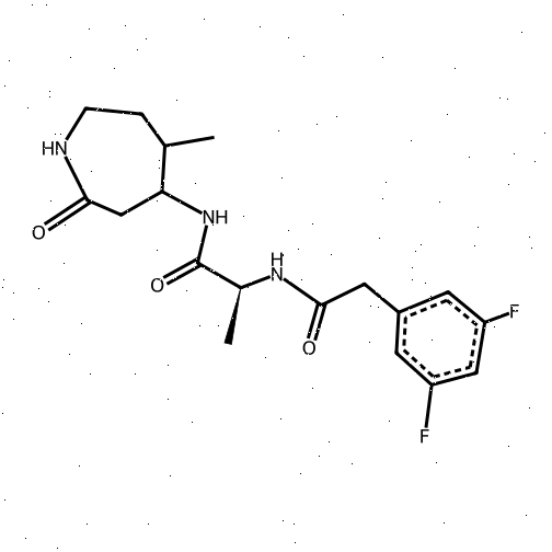 CC1CCNC(=O)CC1NC(=O)[C@H](C)NC(=O)Cc1cc(F)cc(F)c1